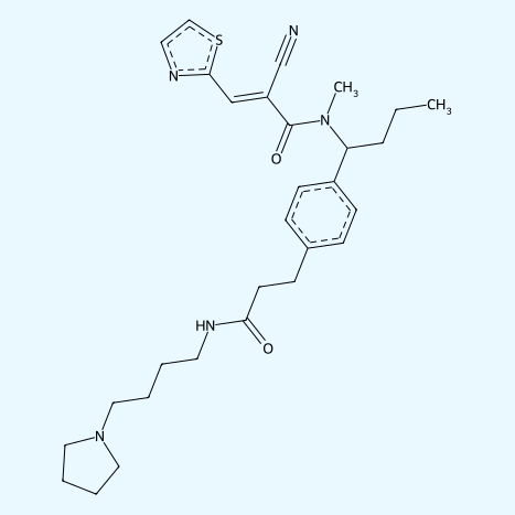 CCCC(c1ccc(CCC(=O)NCCCCN2CCCC2)cc1)N(C)C(=O)/C(C#N)=C/c1nccs1